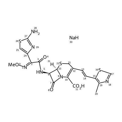 CON=C(C(=O)N[C@@H]1C(=O)N2C(C(=O)O)=C(C=Cc3scnc3C)CS[C@H]12)c1csc(N)n1.[NaH]